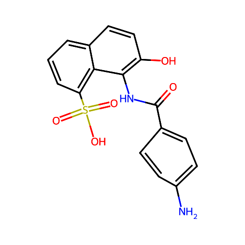 Nc1ccc(C(=O)Nc2c(O)ccc3cccc(S(=O)(=O)O)c23)cc1